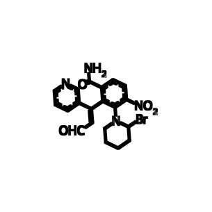 NC(=O)c1ccc([N+](=O)[O-])c(N2CCCCC2Br)c1C(=CC=O)c1cccnc1